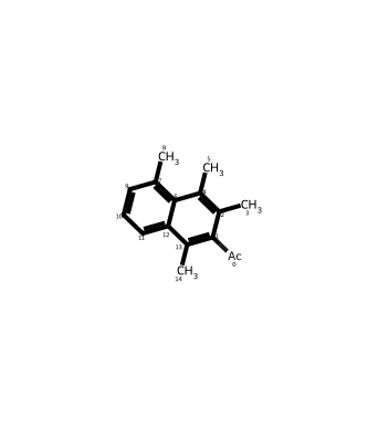 CC(=O)c1c(C)c(C)c2c(C)cccc2c1C